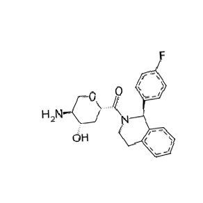 N[C@H]1CO[C@H](C(=O)N2CCc3ccccc3[C@@H]2c2ccc(F)cc2)C[C@@H]1O